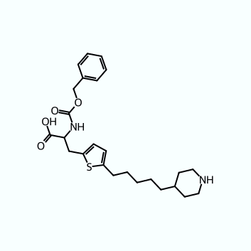 O=C(NC(Cc1ccc(CCCCCC2CCNCC2)s1)C(=O)O)OCc1ccccc1